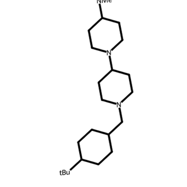 CNC1CCN(C2CCN(CC3CCC(C(C)(C)C)CC3)CC2)CC1